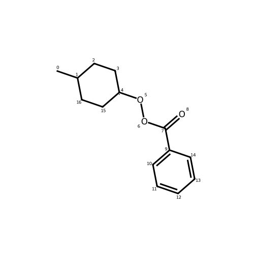 CC1CC[C](OOC(=O)c2ccccc2)CC1